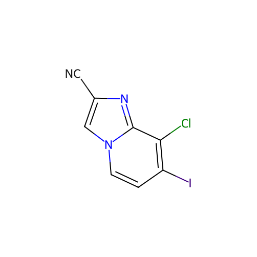 N#Cc1cn2ccc(I)c(Cl)c2n1